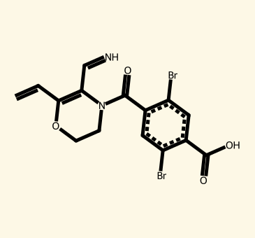 C=CC1=C(C=N)N(C(=O)c2cc(Br)c(C(=O)O)cc2Br)CCO1